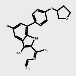 C=C/N=C(/C)c1[nH]c2c(-c3ccc(OC4CCOC4)cc3)cc(Cl)cc2c1C